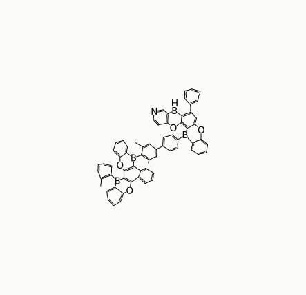 Cc1cccc(C)c1B1c2ccccc2Oc2c1c1c(c3ccccc23)B(c2c(C)cc(-c3ccc(B4c5ccccc5Oc5cc(-c6ccccc6)c6c(c54)Oc4ccncc4B6)cc3)cc2C)c2ccccc2O1